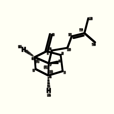 C=C1CC[C@H]2C[C@@H]1[C@]2(C)CCC=C(C)C